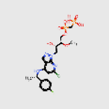 CO[C@H](COP(=O)(O)CP(=O)(O)O)[C@@H](O)Cn1ncc2c(N[C@@H](C)c3ccc(F)cc3)cc(Cl)nc21